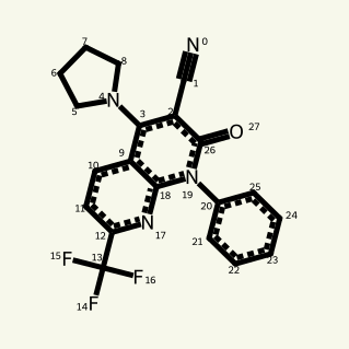 N#Cc1c(N2CCCC2)c2ccc(C(F)(F)F)nc2n(-c2ccccc2)c1=O